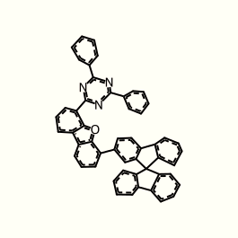 c1ccc(-c2nc(-c3ccccc3)nc(-c3cccc4c3oc3c(-c5ccc6c(c5)C5(c7ccccc7-c7ccccc75)c5ccccc5-6)cccc34)n2)cc1